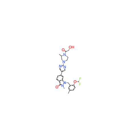 Cc1ccc(OC(F)F)c(Cn2c3cc(-c4cnc(N5CCN(C(=O)CO)C(C)C5)nc4)ccc3c(=O)n2C)c1